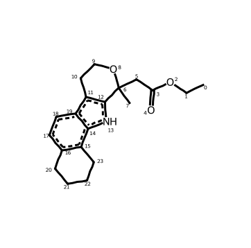 CCOC(=O)CC1(C)OCCc2c1[nH]c1c3c(ccc21)CCCC3